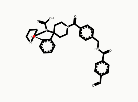 O=Cc1ccc(C(=O)NCc2ccc(C(=O)N3CCC(c4ccccc4)(N(C(=O)O)[C@H]4CN5CCC4CC5)CC3)cc2)cc1